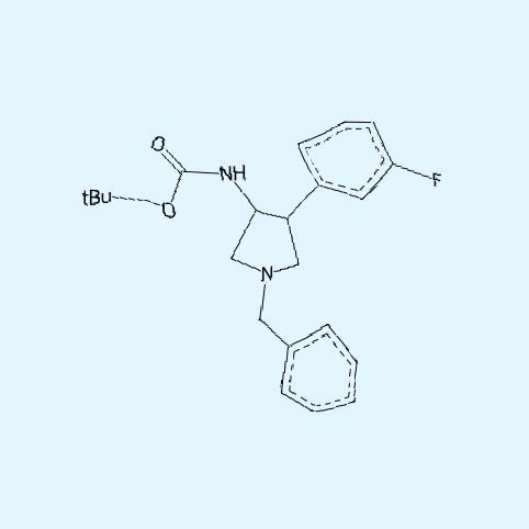 CC(C)(C)OC(=O)NC1CN(Cc2ccccc2)CC1c1cccc(F)c1